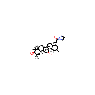 C[C@@H]1[C@H]2[C@H]3C(=O)CC4[C@@]5(C)C=C(C#N)C(=O)C(C)(C)[C@@H]5CC[C@@]4(C)[C@]3(C)CC[C@@]2(CCC(=O)N2CCC2)CC[C@H]1C